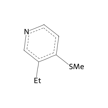 CCc1cnccc1SC